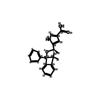 C[C@@H](O[Si]1(c2ccccc2)c2ccccc2C1(C)C)c1cc(C(=O)O)n[nH]1